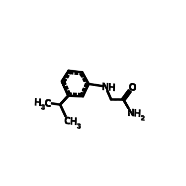 CC(C)c1cccc(NCC(N)=O)c1